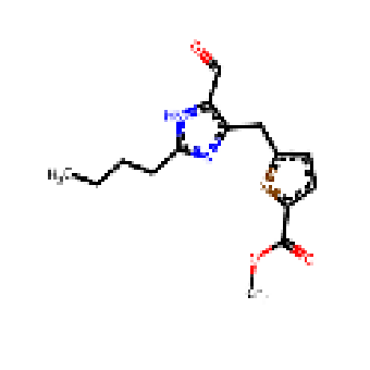 CCCCc1nc(Cc2ccc(C(=O)OC)s2)c(C=O)[nH]1